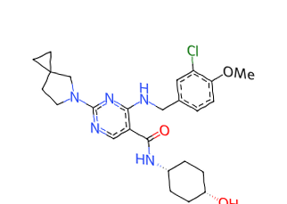 COc1ccc(CNc2nc(N3CCC4(CC4)C3)ncc2C(=O)N[C@H]2CC[C@@H](O)CC2)cc1Cl